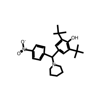 CC(C)(C)c1cc(C(c2ccc([N+](=O)[O-])cc2)N2CCCCC2)cc(C(C)(C)C)c1O